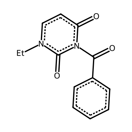 CCn1ccc(=O)n(C(=O)c2ccccc2)c1=O